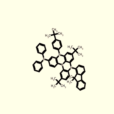 CC(C)(C)c1ccc(N2c3cc(N(c4ccccc4)c4ccccc4)ccc3B3c4cc(C(C)(C)C)ccc4N(c4cccc5c4C(C)(C)c4ccccc4-5)c4cc(C(C)(C)C)cc2c43)cc1